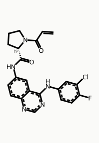 C=CC(=O)N1CCC[C@H]1C(=O)Nc1ccc2ncnc(Nc3ccc(F)c(Cl)c3)c2c1